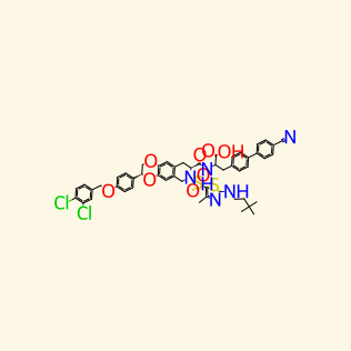 Cc1nc(NCCC(C)(C)C)sc1S(=O)(=O)N1Cc2cc3c(cc2C[C@H]1C(=O)NC(Cc1ccc(-c2ccc(C#N)cc2)cc1)C(=O)O)OC[C@H](c1ccc(OCc2ccc(Cl)c(Cl)c2)cc1)O3